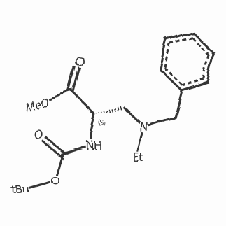 CCN(Cc1ccccc1)C[C@H](NC(=O)OC(C)(C)C)C(=O)OC